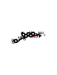 CC(C)[C@H](N)C(=O)C[C@H]1CC[C@]2(C)[C@H]3CCC4=C5CC(C)(C)CC[C@]5(C(=O)NCCCN5CCS(=O)(=O)CC5)CC[C@@]4(C)[C@]3(C)CC[C@H]2C1(C)C